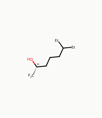 CCC(CC)CCC[C@@H](O)C(F)(F)F